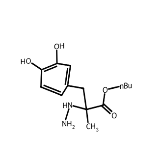 CCCCOC(=O)C(C)(Cc1ccc(O)c(O)c1)NN